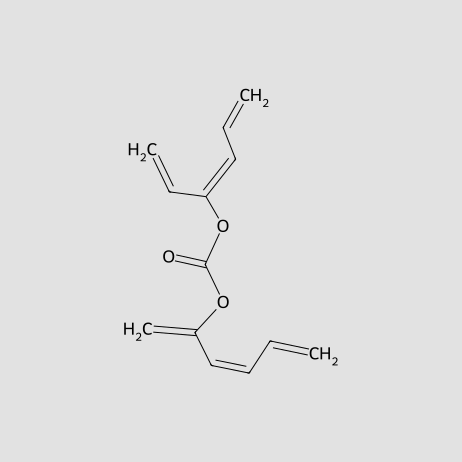 C=C/C=C\C(=C)OC(=O)O/C(C=C)=C/C=C